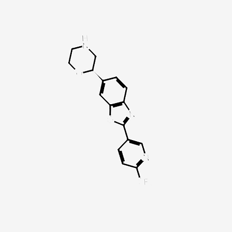 FC(F)(F)c1ccc(-c2nc3ccc([C@@H]4CNCCO4)cc3o2)cn1